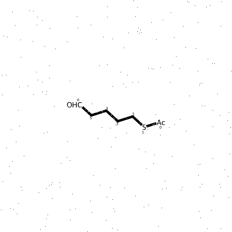 CC(=O)SCCCCC=O